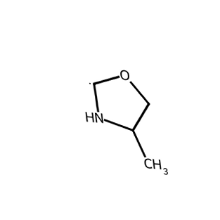 CC1CO[CH]N1